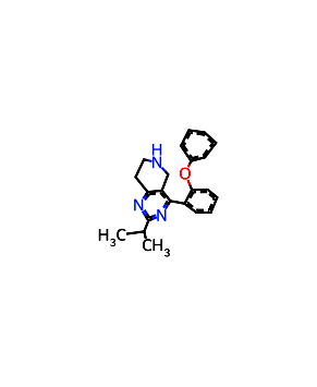 CC(C)c1nc2c(c(-c3ccccc3Oc3ccccc3)n1)CNCC2